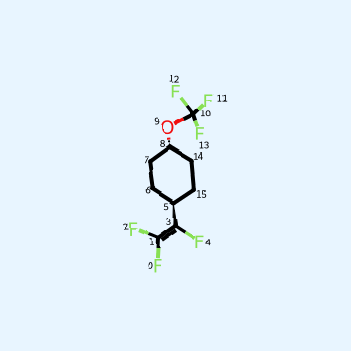 FC(F)=C(F)[C@H]1CC[C@H](OC(F)(F)F)CC1